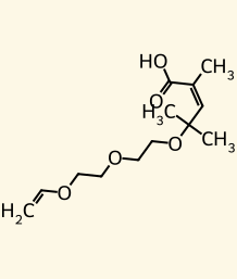 C=COCCOCCOC(C)(C)C=C(C)C(=O)O